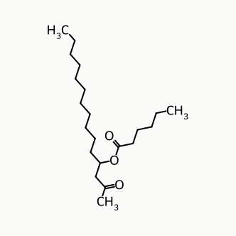 CCCCCCCCCCCC(CC(C)=O)OC(=O)CCCCC